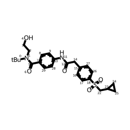 CC(C)(C)N(CCO)C(=O)c1ccc(NC(=O)Cc2ccc(S(=O)(=O)CC3CC3)cc2)cc1